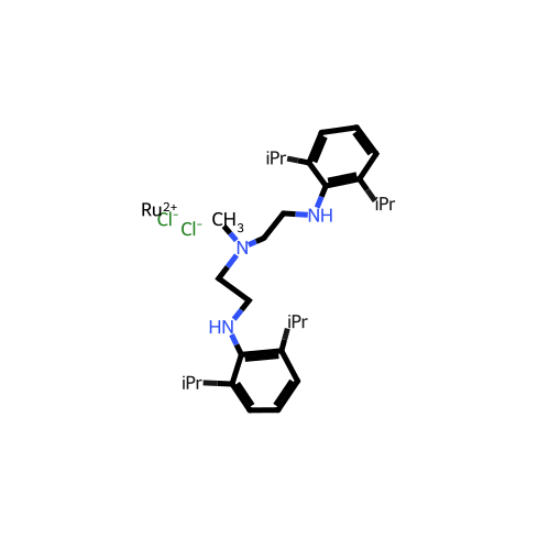 CC(C)c1cccc(C(C)C)c1NCCN(C)CCNc1c(C(C)C)cccc1C(C)C.[Cl-].[Cl-].[Ru+2]